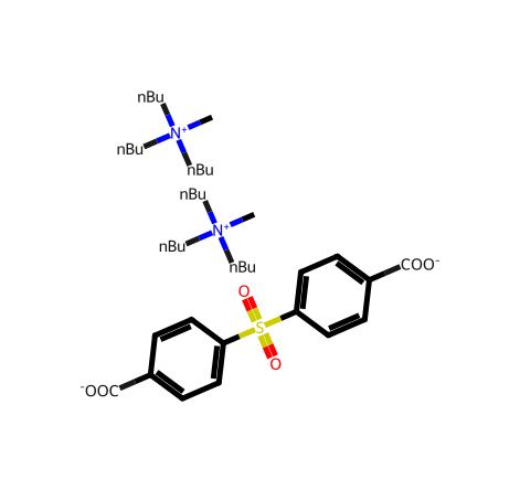 CCCC[N+](C)(CCCC)CCCC.CCCC[N+](C)(CCCC)CCCC.O=C([O-])c1ccc(S(=O)(=O)c2ccc(C(=O)[O-])cc2)cc1